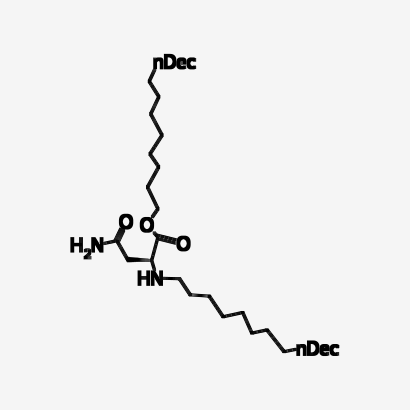 CCCCCCCCCCCCCCCCCCN[C@@H](CC(N)=O)C(=O)OCCCCCCCCCCCCCCCCCC